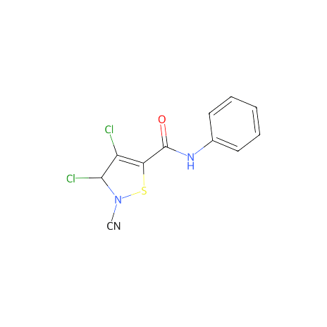 N#CN1SC(C(=O)Nc2ccccc2)=C(Cl)C1Cl